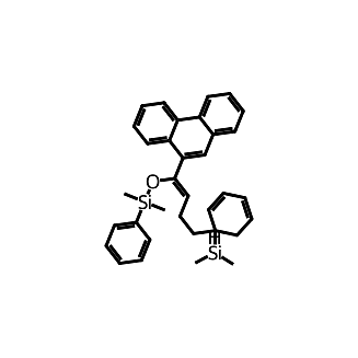 C[SiH](C)C1(CC/C=C(\O[Si](C)(C)c2ccccc2)c2cc3ccccc3c3ccccc23)C=CC=CC1